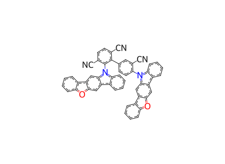 N#Cc1cc(-c2c(C#N)ccc(C#N)c2-n2c3ccccc3c3cc4oc5ccccc5c4cc32)ccc1-n1c2ccccc2c2cc3oc4ccccc4c3cc21